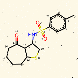 Cc1ccc(S(=O)(=O)NC2CSC3CCCCC(=O)C23)cc1